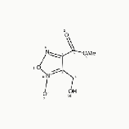 COC(=O)c1no[n+]([O-])c1CO